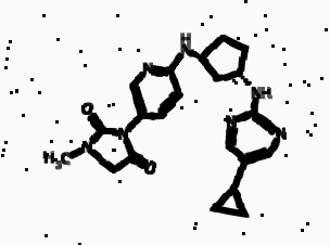 CN1CC(=O)N(c2ccc(N[C@H]3CC[C@H](Nc4ncc(C5CC5)cn4)C3)nc2)C1=O